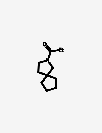 CCC(=O)N1CCC2(CCCC2)C1